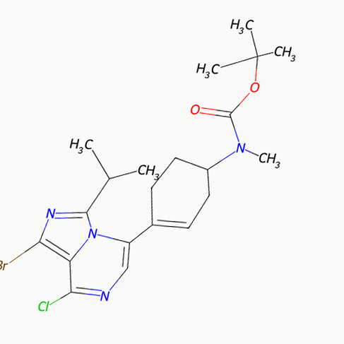 CC(C)c1nc(Br)c2c(Cl)ncc(C3=CCC(N(C)C(=O)OC(C)(C)C)CC3)n12